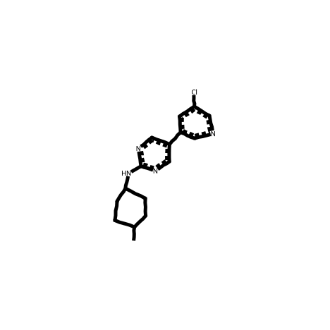 CC1CCC(Nc2ncc(-c3cncc(Cl)c3)cn2)CC1